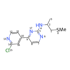 CSCC(C)Nc1nccc(-c2ccnc(Cl)c2)n1